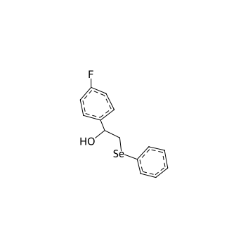 OC(C[Se]c1ccccc1)c1ccc(F)cc1